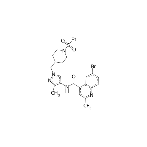 CCS(=O)(=O)N1CCC(Cn2cc(NC(=O)c3cc(C(F)(F)F)nc4ccc(Br)cc34)c(C)n2)CC1